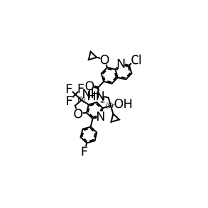 N[C@@]1(C(F)(F)F)COc2c1cc([C@@](O)(CNC(=O)c1cc(OC3CC3)c3nc(Cl)ccc3c1)C1CC1)nc2-c1ccc(F)cc1